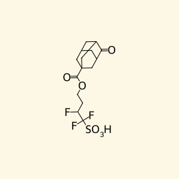 O=C1C2CC3CC1CC(C(=O)OCCC(F)C(F)(F)S(=O)(=O)O)(C3)C2